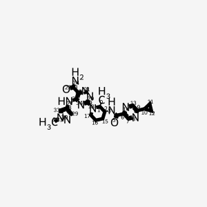 C[C@@H]1[C@H](NC(=O)c2cnc(C3CC3)cn2)CCCN1c1nnc(C(N)=O)c(Nc2cnn(C)c2)n1